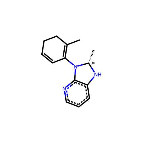 CC1=C(N2c3ncccc3N[C@H]2C)C=CCC1